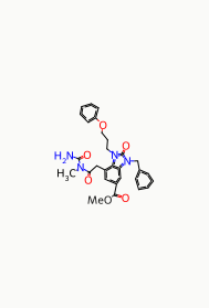 COC(=O)c1cc(CC(=O)N(C)C(N)=O)c2c(c1)n(Cc1ccccc1)c(=O)n2CCCOc1ccccc1